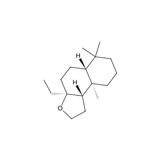 CC[C@]12CC[C@@H]3C(C)(C)CCC[C@@]3(C)[C@@H]1CCO2